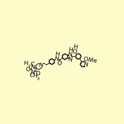 COc1ncccc1-c1ccc(O)c(-c2nc3cc(C(=O)Nc4ccc(CCN5CCC6(CC5)C(=O)N(C)C(=O)N6C)cc4)ccc3[nH]2)c1